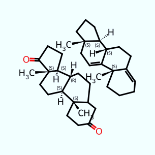 C[C@]12CCC(=O)CC1CC[C@@H]1[C@@H]2CC[C@]2(C)C(=O)CC[C@@H]12.C[C@]12CCCC=C1CC[C@@H]1C2=CC[C@]2(C)CCC[C@@H]12